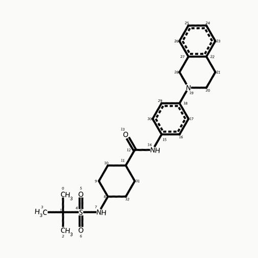 CC(C)(C)S(=O)(=O)NC1CCC(C(=O)Nc2ccc(N3CCc4ccccc4C3)cc2)CC1